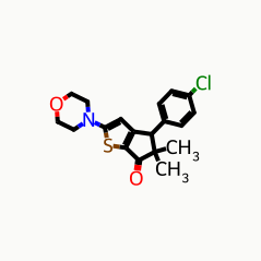 CC1(C)C(=O)c2sc(N3CCOCC3)cc2C1c1ccc(Cl)cc1